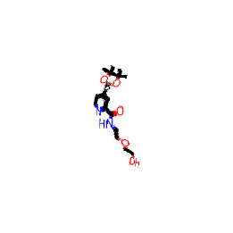 CC1(C)OB(c2ccnc(C(=O)NCCOCCO)c2)OC1(C)C